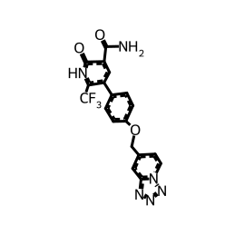 NC(=O)c1cc(-c2ccc(OCc3ccn4nnnc4c3)cc2)c(C(F)(F)F)[nH]c1=O